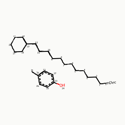 CCCCCCCCCCCCCCCCCCCCCCC1CCCCC1.Cc1ccc(O)cc1